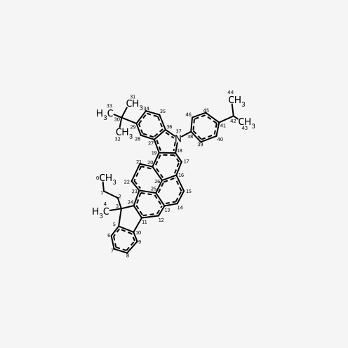 CCCC1(C)c2ccccc2-c2cc3ccc4cc5c(c6ccc(c21)c3c46)c1cc(C(C)(C)C)ccc1n5-c1ccc(C(C)C)cc1